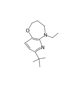 CCN1CCCOc2ccc(C(C)(C)C)nc21